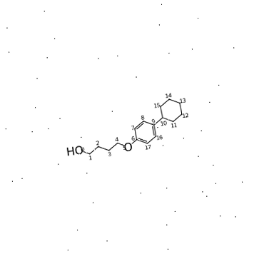 OCCCCOc1ccc(C2CCCCC2)cc1